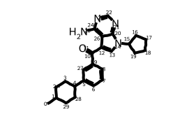 CC1[CH]CC(c2cccc(C(=O)c3cn(C4CCCC4)c4ncnc(N)c34)c2)CC1